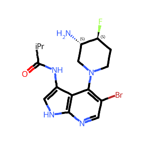 CC(C)C(=O)Nc1c[nH]c2ncc(Br)c(N3CC[C@H](F)[C@@H](N)C3)c12